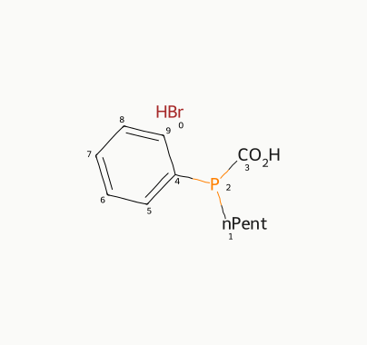 Br.CCCCCP(C(=O)O)c1ccccc1